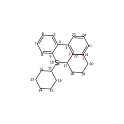 c1ccc(-c2ccccc2[Si](C2CCCCC2)C2CCCCC2)cc1